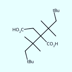 CC(C)(C)CC(C)(C)C(CC(=O)O)(C(=O)O)C(C)(C)CC(C)(C)C